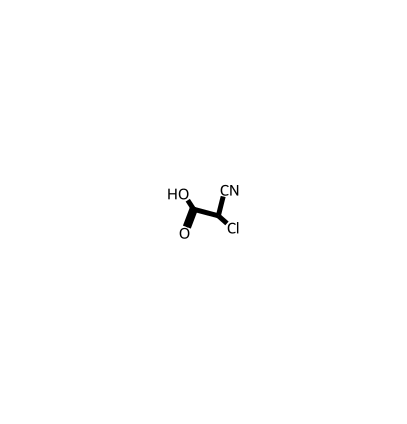 N#CC(Cl)C(=O)O